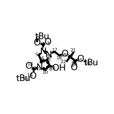 CC(C)(C)OC(=O)N1Cc2c(c(O)cn2C(=O)OC(C)(C)C)N1CCOC(C)(C)C(=O)OC(C)(C)C